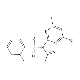 Cc1cc(Cl)c2cc(C)n(S(=O)(=O)c3ccccc3C)c2n1